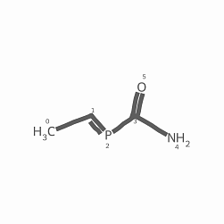 C/C=P/C(N)=O